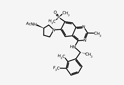 CC(=O)N[C@@H]1CCN(c2cc3c(N[C@H](C)c4cccc(C(F)(F)F)c4C)nc(C)nc3cc2P(C)(C)=O)C1